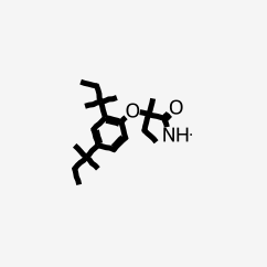 CCC(C)(Oc1ccc(C(C)(C)CC)cc1C(C)(C)CC)C([NH])=O